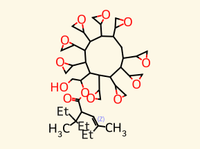 CC/C(C)=C\C(C(=O)OC(CO)C1C(C2CO2)C(C2CO2)C(C2CO2)C(C2CO2)CC(C2CO2)C(C2CO2)C(C2CO2)C(C2CO2)C1C1CO1)C(C)(CC)CC